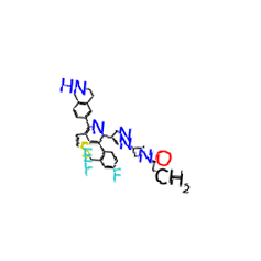 C=CC(=O)N1CC(n2cc(-c3nc(-c4ccc5c(c4)CCNC5)c4ccsc4c3-c3ccc(F)cc3C(F)F)cn2)C1